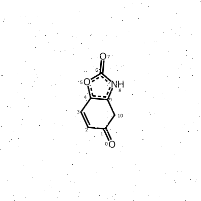 O=C1C=Cc2oc(=O)[nH]c2C1